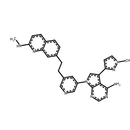 CNc1ccc2ccc(CCc3cncc(-n4cc(-c5ccn(C)n5)c5c(N)ncnc54)c3)cc2n1